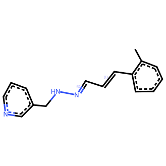 Cc1ccccc1/C=C/C=N/NCc1cccnc1